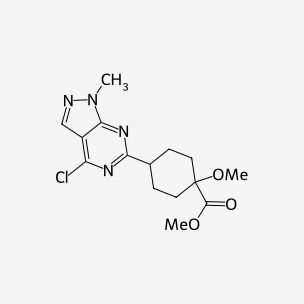 COC(=O)C1(OC)CCC(c2nc(Cl)c3cnn(C)c3n2)CC1